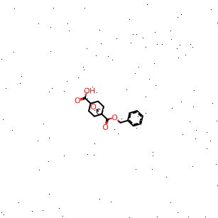 O=C(OCc1ccccc1)C12CCC(C(=O)O)(CC1)OC2